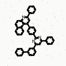 c1ccc(-c2cccc(-c3cc(-c4ccccc4)nc(-c4ccc(-c5cc(-c6ccccc6)nc6ccc7ccccc7c56)cc4)n3)c2)cc1